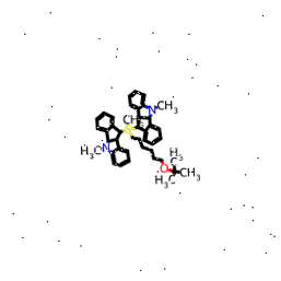 CN1c2ccccc2C2C1c1ccccc1C2S(C)(CCCCCCOC(C)(C)C)C1c2ccccc2C2C1c1ccccc1N2C